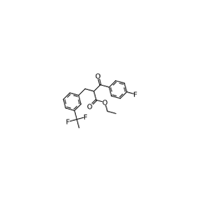 CCOC(=O)C(Cc1cccc(C(C)(F)F)c1)C(=O)c1ccc(F)cc1